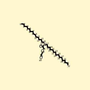 CCCCCCCCCCCCCCCCN(CCCCCCCCCCCCCCCC)C(=O)COCCOC